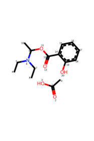 CC(=O)O.CCN(CC)C(C)OC(=O)c1ccccc1O